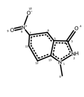 Cn1[nH]c(=O)c2cc([N+](=O)[O-])ccc21